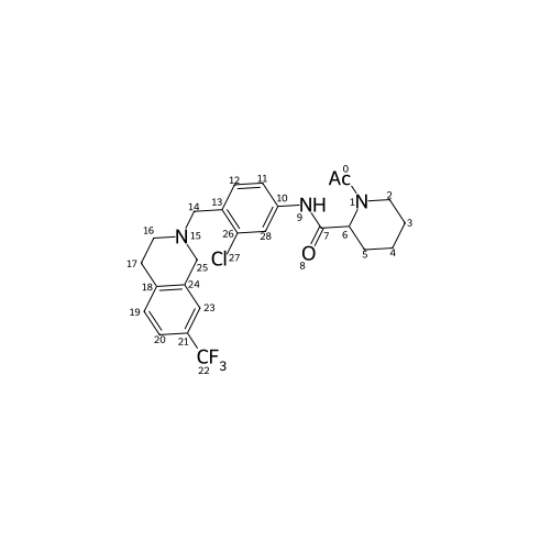 CC(=O)N1CCCCC1C(=O)Nc1ccc(CN2CCc3ccc(C(F)(F)F)cc3C2)c(Cl)c1